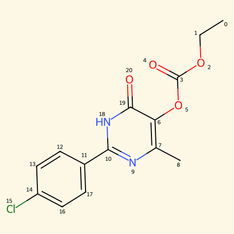 CCOC(=O)Oc1c(C)nc(-c2ccc(Cl)cc2)[nH]c1=O